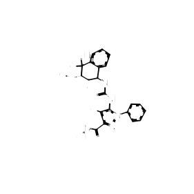 CNC(=O)c1nn(-c2ccccc2)c(NC(=O)NC2c3ccccc3C(C)(C)[C@H](OC)[C@H]2O)c1C